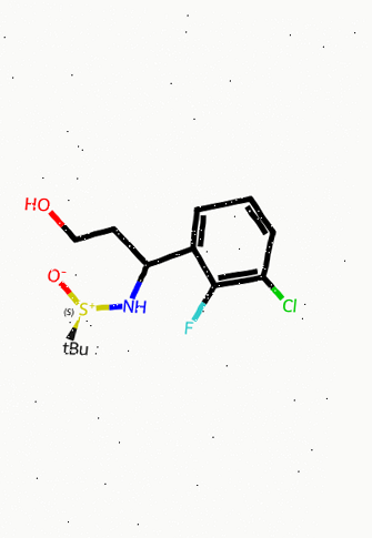 CC(C)(C)[S@@+]([O-])NC(CCO)c1cccc(Cl)c1F